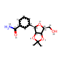 CC1(C)OC2C(O1)[C@@H](c1cccc(C(N)=O)c1)O[C@H]2CO